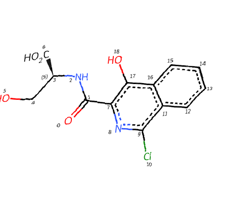 O=C(N[C@@H](CO)C(=O)O)c1nc(Cl)c2ccccc2c1O